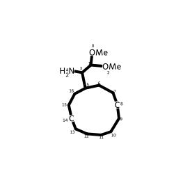 COC(OC)C(N)C1CCCCCCCCCCC1